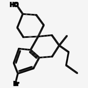 CCCC1(C)Cc2cc(Br)ccc2C2(CCC(O)CC2)C1